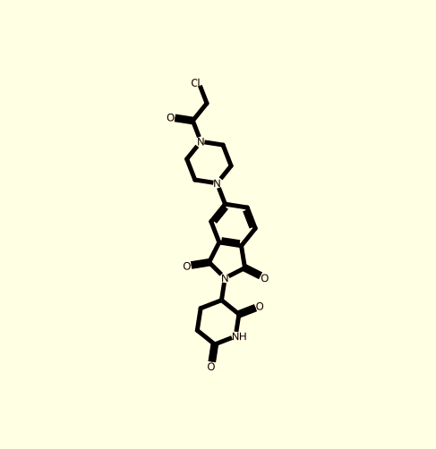 O=C1CCC(N2C(=O)c3ccc(N4CCN(C(=O)CCl)CC4)cc3C2=O)C(=O)N1